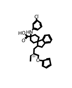 CC[C@H](COc1ccccc1)CC1Cc2ccccc2C12CCC(Nc1cccc(Cl)c1)(C(=O)O)CC2